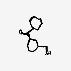 N=C[C@H]1CCC[C@@H](C(=O)N2CCCCC2)C1